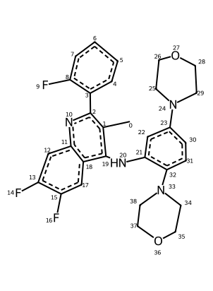 Cc1c(-c2ccccc2F)nc2cc(F)c(F)cc2c1Nc1cc(N2CCOCC2)ccc1N1CCOCC1